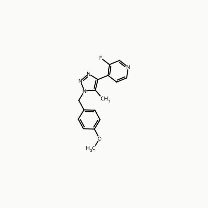 COc1ccc(Cn2nnc(-c3ccncc3F)c2C)cc1